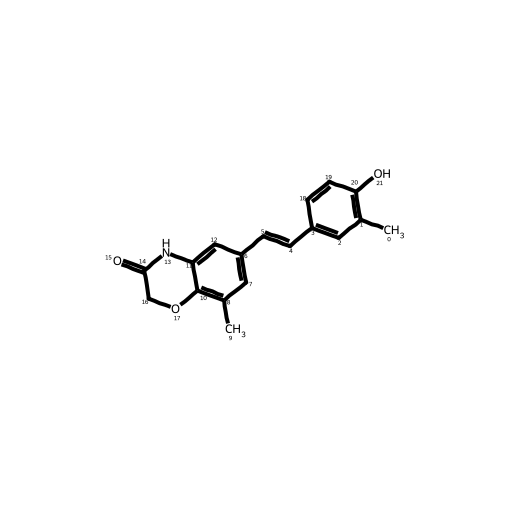 Cc1cc(C=Cc2cc(C)c3c(c2)NC(=O)CO3)ccc1O